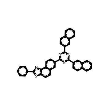 c1ccc(-c2nc3c(ccc4cc(-c5nc(-c6ccc7ccccc7c6)nc(-c6ccc7ccccc7c6)n5)ccc43)s2)cc1